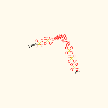 O.O.O.O.O.O=S(=O)([O-])[O-].O=S(=O)([O-])[O-].O=S(=O)([O-])[O-].O=S(=O)([O-])[O-].O=S(=O)([O-])[O-].[O-2].[O-2].[O-2].[O-2].[O-2].[V+5].[V+5].[V+5].[V+5]